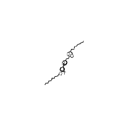 CCCCCCCCCCOc1ccc(-c2ccc(CCC3OCC(CCCCCCCCC)CO3)cn2)cc1F